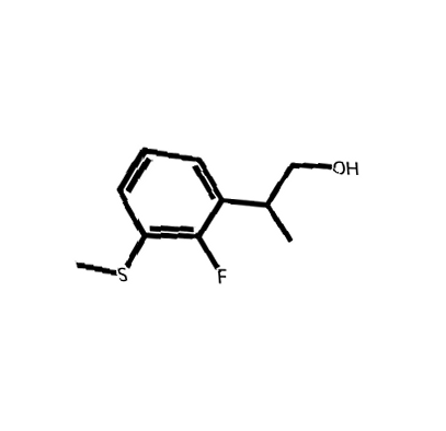 CSc1cccc([C](C)CO)c1F